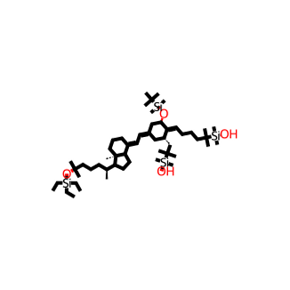 CC[Si](CC)(CC)OC(C)(C)CCC[C@H](C)C1CCC2/C(=C/C=C3\C[C@@H](CC(C)(C)[Si](C)(C)O)/C(=C\CCCC(C)(C)[Si](C)(C)O)[C@H](O[Si](C)(C)C(C)(C)C)C3)CCC[C@@]21C